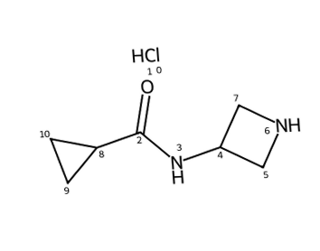 Cl.O=C(NC1CNC1)C1CC1